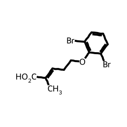 CC(=CCCOc1c(Br)cccc1Br)C(=O)O